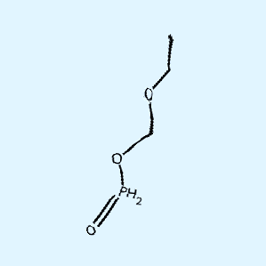 CCOCO[PH2]=O